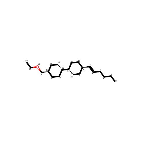 CCCCC=C[C@H]1CC[C@H]([C@H]2CC[C@H](COCC)CC2)CC1